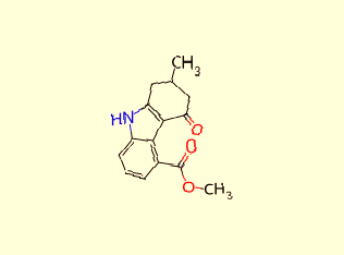 COC(=O)c1cccc2[nH]c3c(c12)C(=O)CC(C)C3